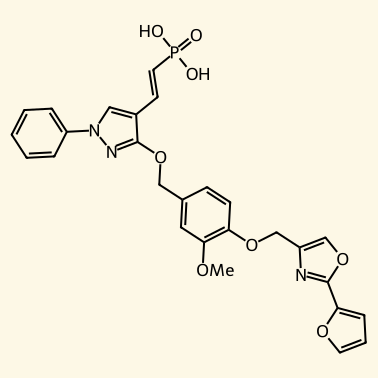 COc1cc(COc2nn(-c3ccccc3)cc2C=CP(=O)(O)O)ccc1OCc1coc(-c2ccco2)n1